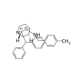 Cc1ccc(CN[C@@H]2C3CCN(CC3)[C@H]2C(c2ccccc2)c2ccccc2)cc1